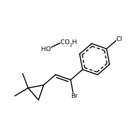 CC1(C)CC1C=C(Br)c1ccc(Cl)cc1.O=C(O)O